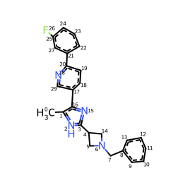 Cc1[nH]c(C2CN(Cc3ccccc3)C2)nc1-c1ccc(-c2cccc(F)c2)nc1